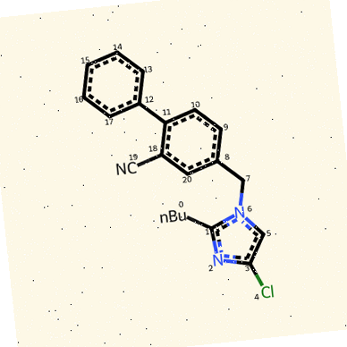 CCCCc1nc(Cl)cn1Cc1ccc(-c2ccccc2)c(C#N)c1